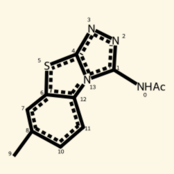 CC(=O)Nc1nnc2sc3cc(C)ccc3n12